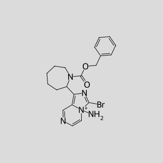 N[N+]12C=CN=CC1=C(C1CCCCCN1C(=O)OCc1ccccc1)N=C2Br